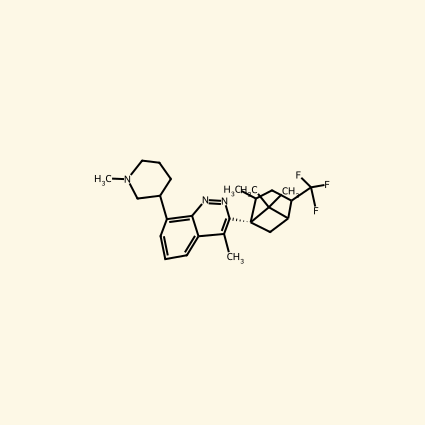 Cc1c([C@]23CC(C(C(F)(F)F)CC2C)C3(C)C)nnc2c(C3CCCN(C)C3)cccc12